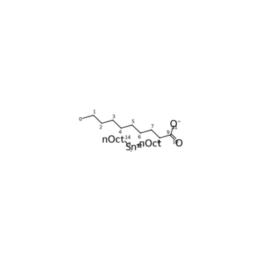 CCCCCCCCCC(=O)[O-].CCCCCCC[CH2][Sn+][CH2]CCCCCCC